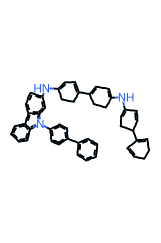 C1=CC(C2C=CC(NC3=CC=C(C4=CC=C(Nc5ccc6c7ccccc7n(-c7ccc(-c8ccccc8)cc7)c6c5)CC4)CC3)=CC2)=CCC1